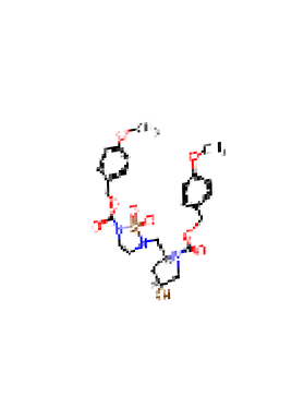 COc1ccc(COC(=O)N2C[C@@H](S)C[C@H]2CN2CCN(C(=O)OCc3ccc(OC)cc3)S2(=O)=O)cc1